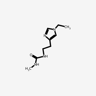 CCn1cnc(CCNC(=O)NC)c1